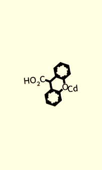 O=C(O)C1c2ccccc2Oc2ccccc21.[Cd]